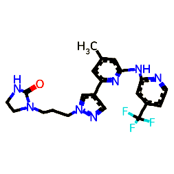 Cc1cc(Nc2cc(C(F)(F)F)ccn2)nc(-c2cnn(CCCN3CCNC3=O)c2)c1